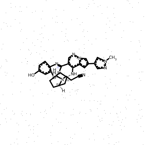 Cn1cc(-c2cc3c(N[C@@H]4C[C@H]5CC[C@@H](C4)N5CCC#N)c(/C(N)=N/c4ccc(O)cc4Cl)cnn3c2)cn1